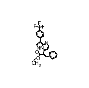 CCOC(=O)/C(=C/c1ccccc1)c1ccnc2c(-c3ccc(C(F)(F)F)cc3)cnn12